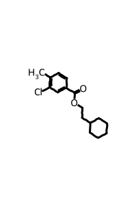 Cc1ccc(C(=O)OCCC2CCCCC2)cc1Cl